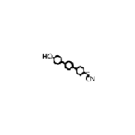 N#CSC1CCC(C2CCC(C3CCC(O)CC3)CC2)CC1